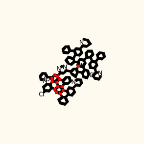 Oc1cc(-c2cc(-c3ccc(-c4ccc(Cl)cc4-c4cc(-c5ccccc5-c5ccc(-c6ccccn6)cc5-c5ccccc5)cc(-c5ccccc5-c5ccc(-c6ccccn6)cc5-c5ccccc5)c4)c(O)c3)ncn2)ccc1-c1ccc(Cl)cc1-c1cc(-c2ccccc2-c2ccc(-c3ccccn3)cc2-c2ccccc2)cc(-c2ccccc2-c2ccc(-c3ccccn3)cc2-c2ccccc2)c1